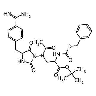 CC(=O)N(CC(NC(=O)OCc1ccccc1)C(=O)OC(C)(C)C)N1C(=O)NC(Cc2ccc(C(=N)N)cc2)C1=O